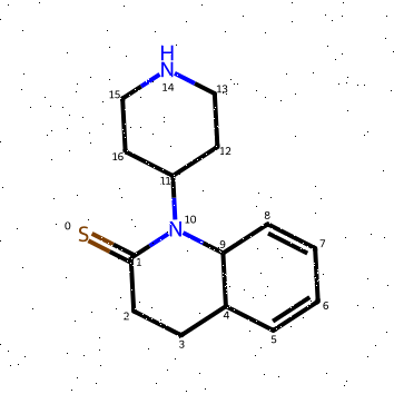 S=C1CCC2C=CC=CC2N1C1CCNCC1